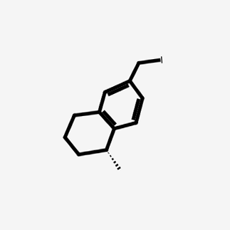 C[C@@H]1CCCc2cc(CI)ccc21